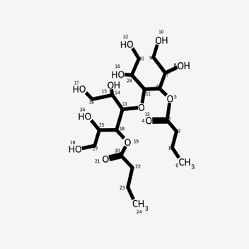 CCCC(=O)OC(C(O)CO)C(OC(C(O)CO)C(OC(=O)CCC)C(O)CO)C(O)CO